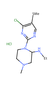 CCNC1CN(C)CCN1c1ncc(SC)c(Cl)n1.Cl